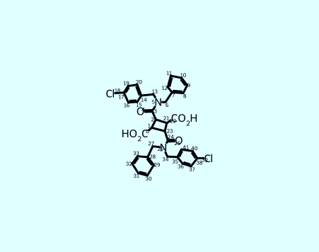 O=C(O)C1C(C(=O)N(Cc2ccccc2)Cc2ccc(Cl)cc2)C(C(=O)O)C1C(=O)N(Cc1ccccc1)Cc1ccc(Cl)cc1